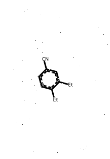 CCc1c[c]c(C#N)cc1CC